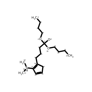 CCCCOC([O])(CCCC1=C([SiH](C)C)C=CC1)OCCCC